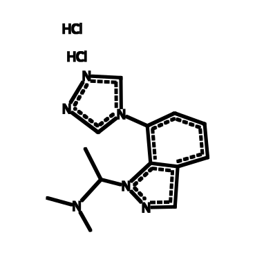 CC(N(C)C)n1ncc2cccc(-n3cnnc3)c21.Cl.Cl